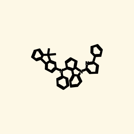 CC1(C)c2ccccc2-c2ccc(N(c3ccccc3)c3cccc4c3c3ccccc3n4-c3cccc(-c4ccccc4)n3)cc21